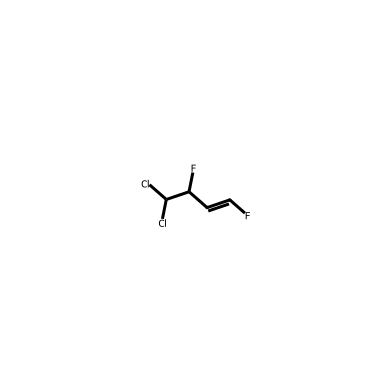 FC=CC(F)C(Cl)Cl